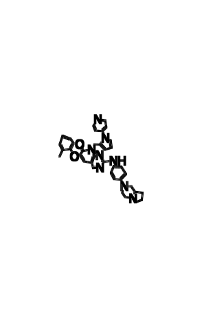 Cc1ccccc1Oc1cc2cnc(Nc3ccc(N4CCN5CCCC5C4)cc3)nc2n(Cc2cccn2-c2ccncc2)c1=O